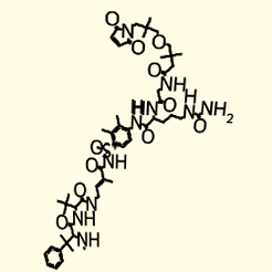 CNC(C(=O)NC(C(=O)N(C)C/C=C(\C)C(=O)N[S+]([O-])c1ccc(NC(=O)C(CCCNC(N)=O)NC(=O)CNC(=O)CC(C)(C)COCC(C)(C)CN2C(=O)C=CC2=O)c(C)c1C)C(C)(C)C)C(C)(C)c1ccccc1